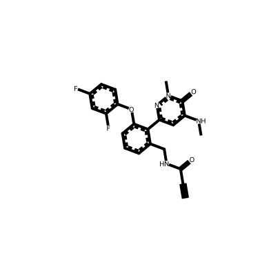 C#CC(=O)NCc1cccc(Oc2ccc(F)cc2F)c1-c1cc(NC)c(=O)n(C)n1